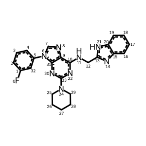 Fc1cccc(-n2cnc3c(NCc4nc5ccccc5[nH]4)nc(N4CCCCC4)nc32)c1